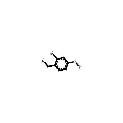 CCOc1ccc(CBr)c(Br)c1